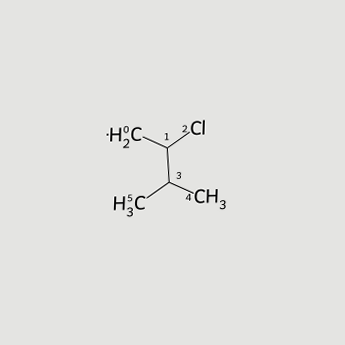 [CH2]C(Cl)C(C)C